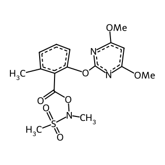 COc1cc(OC)nc(Oc2cccc(C)c2C(=O)ON(C)S(C)(=O)=O)n1